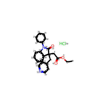 CCOC(=O)CC1(Cc2ccncc2)C(=O)N(c2ccccc2)c2ccccc21.Cl